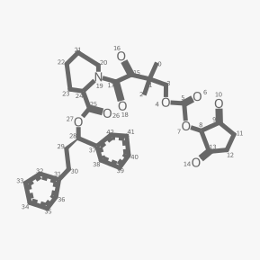 CC(C)(COC(=O)OC1C(=O)CCC1=O)C(=O)C(=O)N1CCCCC1C(=O)O[C@H](CCc1ccccc1)c1ccccc1